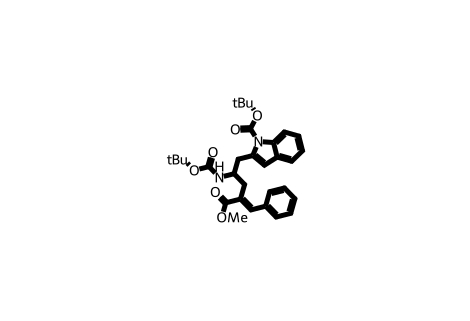 COC(=O)/C(=C/c1ccccc1)CC(Cc1cc2ccccc2n1C(=O)OC(C)(C)C)NC(=O)OC(C)(C)C